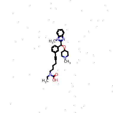 CCN(CCCCC#Cc1cccc(C(OC2CCN(C)CC2)c2nc3ccccc3n2C)c1)C(=O)O